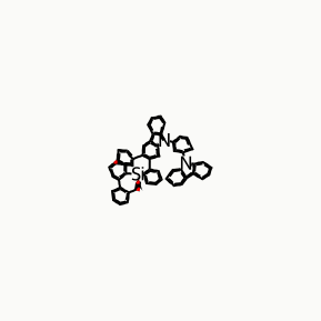 c1cc(-n2c3ccccc3c3ccccc32)cc(-n2c3ccccc3c3cc4c(cc32)-c2ccccc2[Si]2(c3ccccc3-c3ccccc3-c3ccccc32)c2ccccc2-4)c1